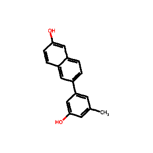 Cc1cc(O)cc(-c2ccc3cc(O)ccc3c2)c1